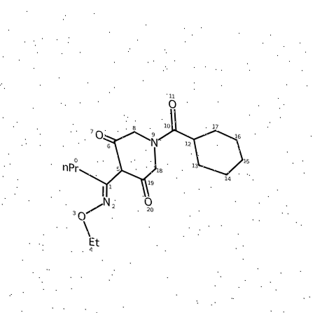 CCCC(=NOCC)C1C(=O)CN(C(=O)C2CCCCC2)CC1=O